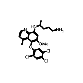 COc1cc(NC(C)CCCN)c2nccc(C)c2c1Oc1cc(Cl)c(Cl)cc1Cl